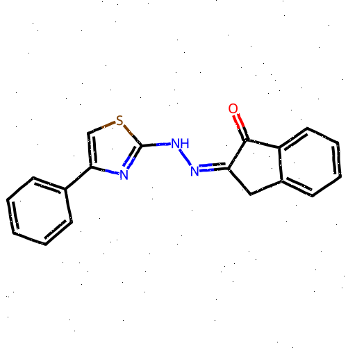 O=C1/C(=N\Nc2nc(-c3ccccc3)cs2)Cc2ccccc21